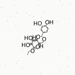 CCO[C@H]1O[C@@H]2COC(c3ccc(O)c(O)c3)O[C@H]2[C@H](O)[C@H]1O